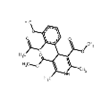 COC(=O)C1=C(C)NC(C)=C(C(=O)OC)C1c1cccc(OC)c1OC(C)=O